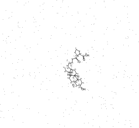 C[C@H](CCC(=O)N1CCCC1C(=O)O)[C@H]1CC[C@H]2[C@@H]3CC[C@@H]4C[C@H](O)CC[C@]4(C)[C@H]3CC[C@]12C